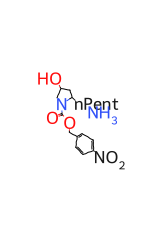 CCCCCC1CC(O)CN1C(=O)OCc1ccc([N+](=O)[O-])cc1.N